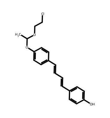 CC(OCCCl)Oc1ccc(C=CC=Cc2ccc(O)cc2)cc1